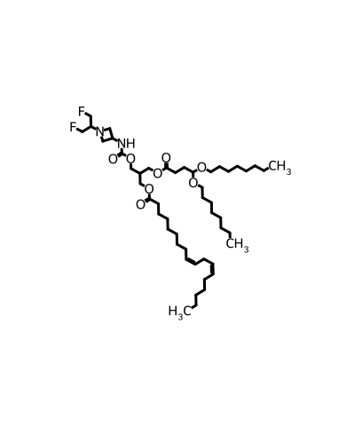 CCCCC/C=C\C/C=C\CCCCCCCC(=O)OCC(COC(=O)CCC(OCCCCCCCC)OCCCCCCCC)COC(=O)NC1CN(C(CF)CF)C1